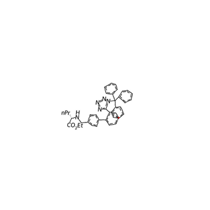 CCC[C@H](NCc1ccc(-c2ccccc2-c2nnnn2C(c2ccccc2)(c2ccccc2)c2ccccc2)cc1)C(=O)OCC